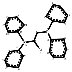 [Ni][CH](CP(c1ccccc1)c1ccccc1)P(c1ccccc1)c1ccccc1